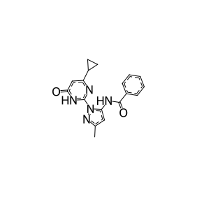 Cc1cc(NC(=O)c2ccccc2)n(-c2nc(C3CC3)cc(=O)[nH]2)n1